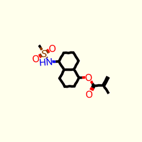 C=C(C)C(=O)OC1CCCC2C(NS(C)(=O)=O)CCCC12